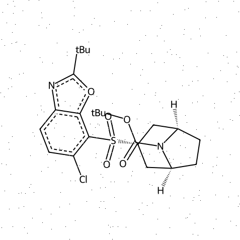 CC(C)(C)OC(=O)N1[C@@H]2CC[C@H]1C[C@H](S(=O)(=O)c1c(Cl)ccc3nc(C(C)(C)C)oc13)C2